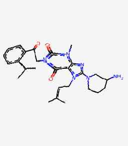 CC(C)=CCn1c(N2CCCC(N)C2)nc2c1c(=O)n(CC(=O)c1ccccc1C(C)C)c(=O)n2C